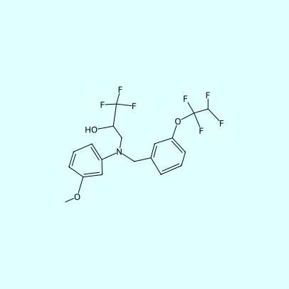 COc1cccc(N(Cc2cccc(OC(F)(F)C(F)F)c2)CC(O)C(F)(F)F)c1